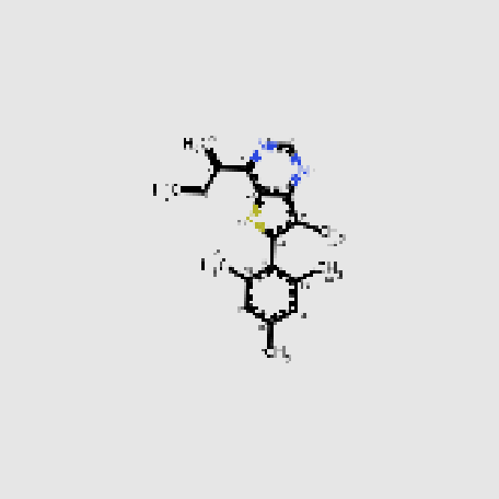 C=CC(=C)c1ncnc2c(C)c(-c3c(C)cc(C)cc3C)sc12